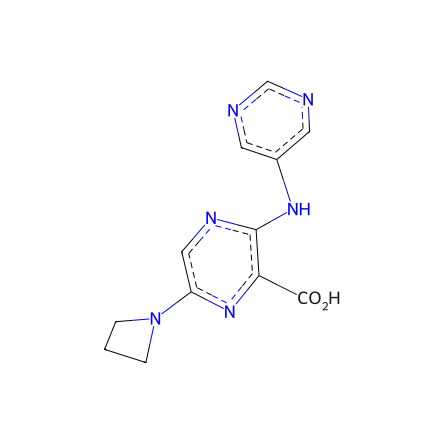 O=C(O)c1nc(N2CCC2)cnc1Nc1cncnc1